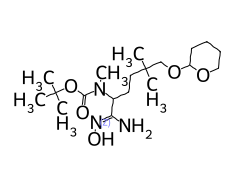 CN(C(=O)OC(C)(C)C)C(CCC(C)(C)COC1CCCCO1)/C(N)=N/O